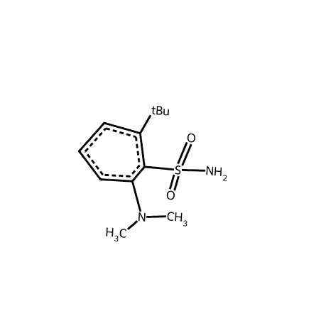 CN(C)c1cccc(C(C)(C)C)c1S(N)(=O)=O